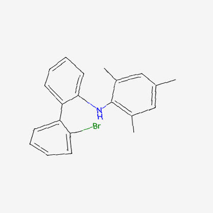 Cc1cc(C)c(Nc2ccccc2-c2ccccc2Br)c(C)c1